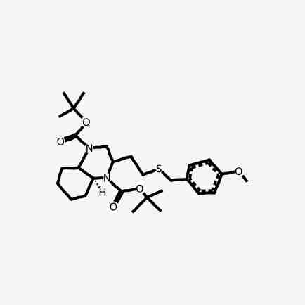 COc1ccc(CSCCC2CN(C(=O)OC(C)(C)C)C3CCCC[C@@H]3N2C(=O)OC(C)(C)C)cc1